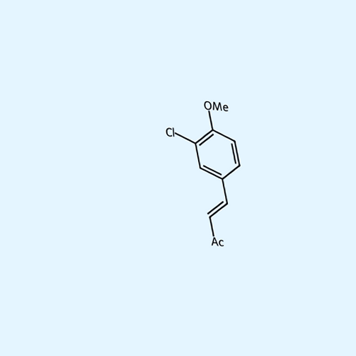 COc1ccc(/C=C/C(C)=O)cc1Cl